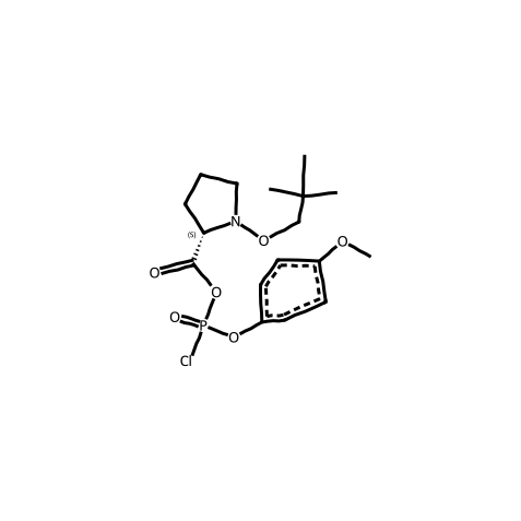 COc1ccc(OP(=O)(Cl)OC(=O)[C@@H]2CCCN2OCC(C)(C)C)cc1